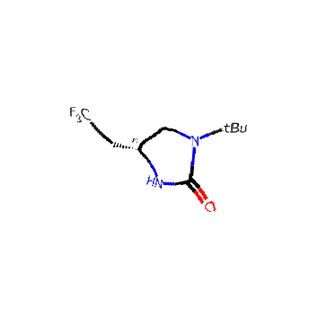 CC(C)(C)N1C[C@@H](CC(F)(F)F)NC1=O